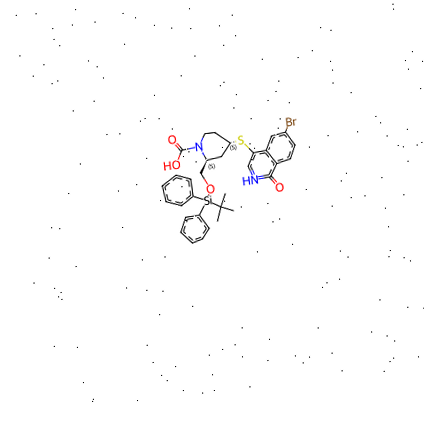 CC(C)(C)[Si](OC[C@@H]1C[C@@H](Sc2c[nH]c(=O)c3ccc(Br)cc23)CCN1C(=O)O)(c1ccccc1)c1ccccc1